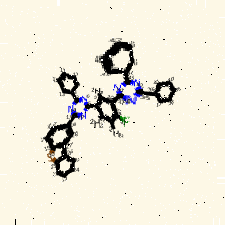 [2H]c1c([2H])c(-c2nc(-c3ccccc3)nc(-c3ccc4sc5ccccc5c4c3)n2)c([2H])c(-c2nc(-c3ccccc3)nc(-c3ccccc3)n2)c1F